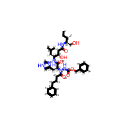 CC[C@H](C)[C@@H](CO)NC(=O)C[C@H](O)[C@H](CC(C)C)NC(=O)[C@H](Cc1c[nH]cn1)N(NC(=O)OCc1ccccc1)C(=O)CCCc1ccccc1